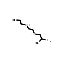 CC(O)CNCCNCCO